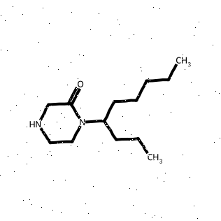 CCCCCC(CCC)N1CCNCC1=O